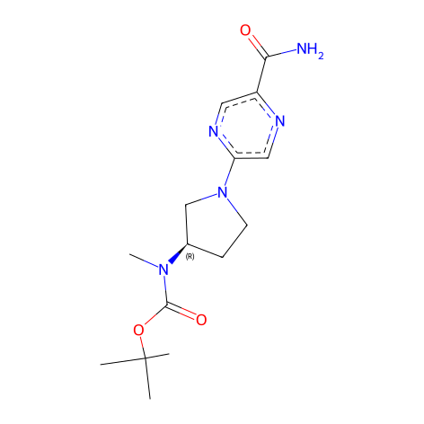 CN(C(=O)OC(C)(C)C)[C@@H]1CCN(c2cnc(C(N)=O)cn2)C1